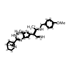 COc1ccc(CN/C(C)=C(\C=N)c2cc(/N=C(\NC=O)C3CC4CCN3CC4)c(C)s2)cc1